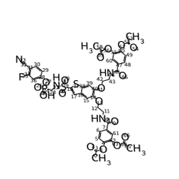 CC(=O)Oc1ccc(C(=O)NCCOc2cc3cc(S(=O)(=O)NCP(=O)(O)Oc4ccc(C#N)c(F)c4)sc3cc2OCCNC(=O)c2ccc(OC(C)=O)c(OC(C)=O)c2)cc1OC(C)=O